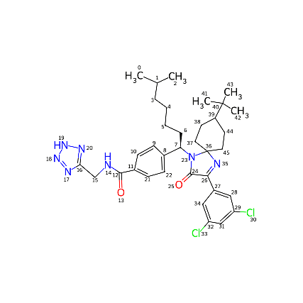 CC(C)CCCC[C@H](c1ccc(C(=O)NCc2nn[nH]n2)cc1)N1C(=O)C(c2cc(Cl)cc(Cl)c2)=NC12CCC(C(C)(C)C)CC2